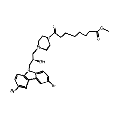 COC(=O)CCCCCCC(=O)N1CCN(C[C@@H](O)Cn2c3ccc(Br)cc3c3cc(Br)ccc32)CC1